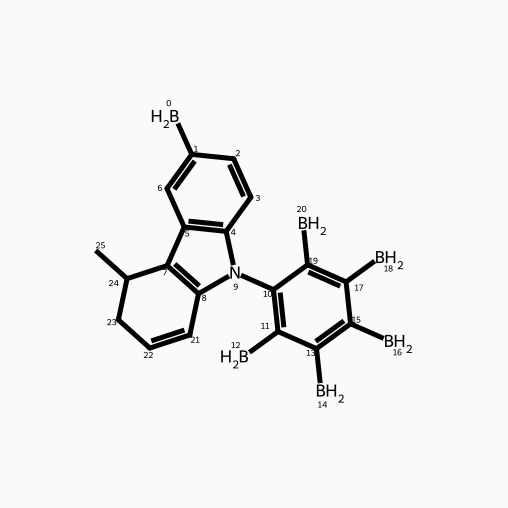 Bc1ccc2c(c1)c1c(n2-c2c(B)c(B)c(B)c(B)c2B)C=CCC1C